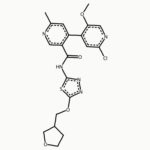 COc1cnc(Cl)cc1-c1cc(C)ncc1C(=O)Nc1nnc(OCC2CCOC2)s1